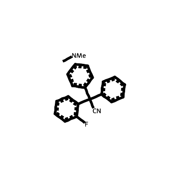 CNC.N#CC(c1ccccc1)(c1ccccc1)c1ccccc1F